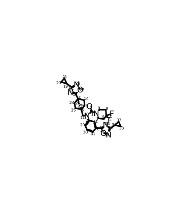 O=C(N1CCC(F)(F)CC1)N(CC12CCC(c3nc(C4CC4)no3)(CC1)CC2)c1cccc(-c2nc(C3CC3)no2)c1